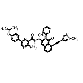 CC(C)Oc1ccc(-c2cnc(N)c(C(=O)N[C@@H](C)c3cc4cccc(C#Cc5cnn(C)c5)c4c(=O)n3-c3ccccc3)n2)cc1